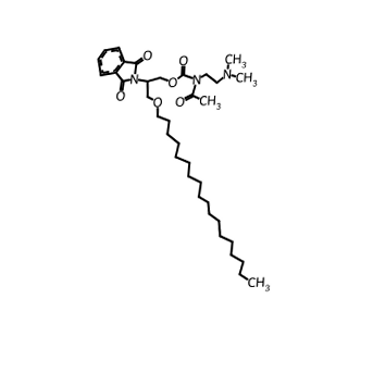 CCCCCCCCCCCCCCCCCCOCC(COC(=O)N(CCN(C)C)C(C)=O)N1C(=O)c2ccccc2C1=O